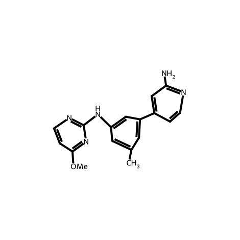 COc1ccnc(Nc2cc(C)cc(-c3ccnc(N)c3)c2)n1